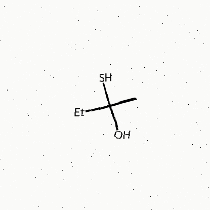 [CH2]CC(C)(O)S